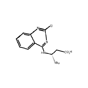 CC(C)(C)[C@@H](CC(=O)O)Nc1nc(Cl)nc2ccccc12